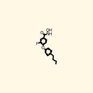 CCCCc1ccc(Oc2ccc(C(=O)NO)cc2F)cc1